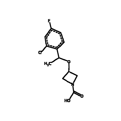 CC(OC1CN(C(=O)O)C1)c1ccc(F)cc1Cl